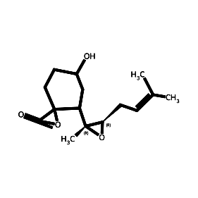 CC(C)=CC[C@H]1O[C@]1(C)C1CC(O)CCC12OC2=O